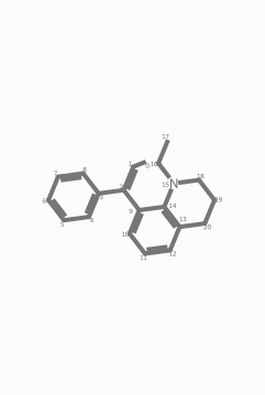 C/C=C(/c1ccccc1)c1cccc2c1N(CC)CCC2